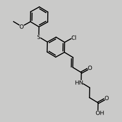 COc1ccccc1Sc1ccc(C=CC(=O)NCCC(=O)O)c(Cl)c1